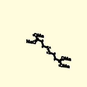 COC(CCSSCCC(OC)OC)OC